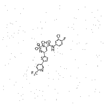 CN1C(C(=O)Nc2ccc(F)c(Cl)c2)=CC(c2ccc(-c3ccc(C(F)(F)F)nc3)s2)=NS1(=O)=O